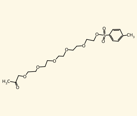 CC(=O)COCCOCCOCCOCCOCCOS(=O)(=O)c1ccc(C)cc1